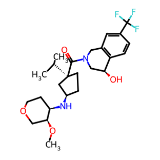 CO[C@H]1COCC[C@H]1N[C@@H]1CC[C@@](C(=O)N2Cc3cc(C(F)(F)F)ccc3[C@@H](O)C2)(C(C)C)C1